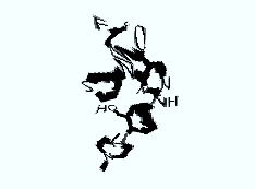 CN1CCN(c2ccc(Nc3ncc4c(=O)n(CC(F)F)n(-c5ccsc5)c4n3)cc2CO)CC1